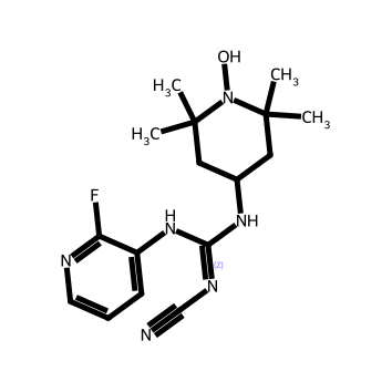 CC1(C)CC(N/C(=N/C#N)Nc2cccnc2F)CC(C)(C)N1O